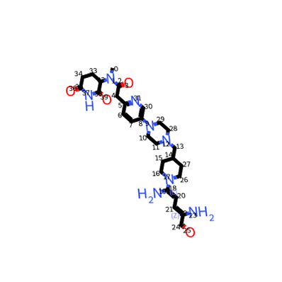 CN(C(=O)Cc1ccc(N2CCN(CC3CCN(/C(N)=C/C=C(\N)C=O)CC3)CC2)cn1)C1CCC(=O)NC1=O